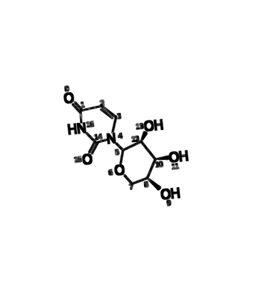 O=c1ccn(C2OC[C@H](O)[C@H](O)[C@@H]2O)c(=O)[nH]1